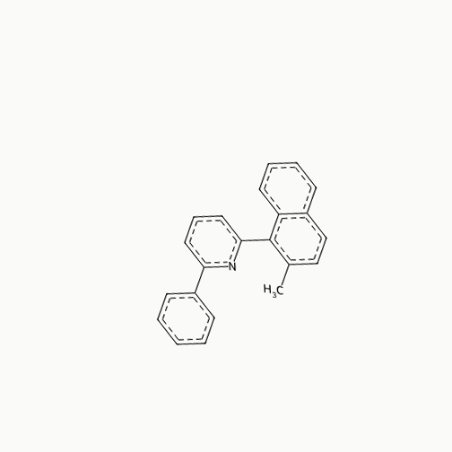 Cc1ccc2ccccc2c1-c1cccc(-c2ccccc2)n1